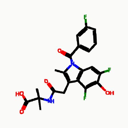 Cc1c(CC(=O)NC(C)(C)C(=O)O)c2c(F)c(O)c(F)cc2n1C(=O)c1cccc(F)c1